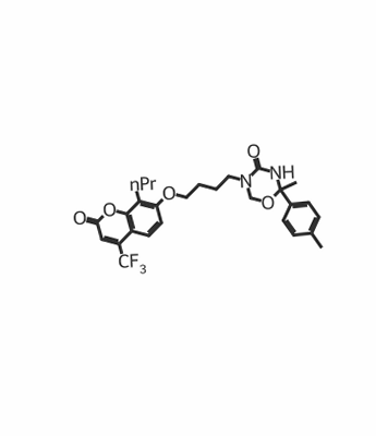 CCCc1c(OCCCCN2COC(C)(c3ccc(C)cc3)NC2=O)ccc2c(C(F)(F)F)cc(=O)oc12